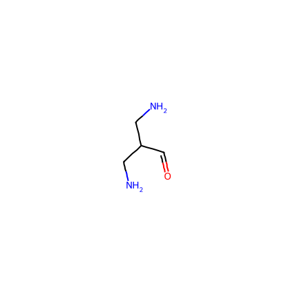 NCC(C=O)CN